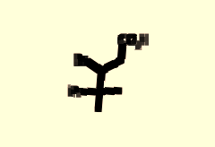 CC(C)C(C)(C)C(Br)CC(=O)O